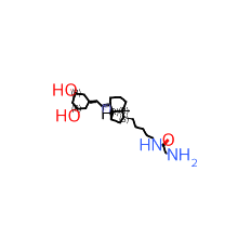 C[C@]12CCC/C(=C\C=C3C[C@@H](O)C[C@H](O)C3)[C@@H]1CC[C@@H]2CCCCCNC(=O)CN